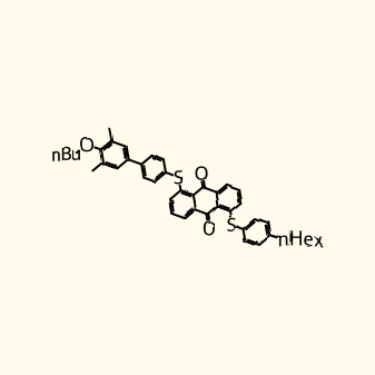 CCCCCCc1ccc(Sc2cccc3c2C(=O)c2cccc(Sc4ccc(-c5cc(C)c(OCCCC)c(C)c5)cc4)c2C3=O)cc1